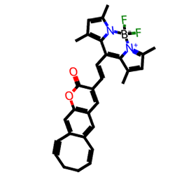 CC1=CC(C)=[N+]2C1=C(/C=C/c1cc3cc4c(cc3oc1=O)C#CCC/C=C\4)c1c(C)cc(C)n1[B-]2(F)F